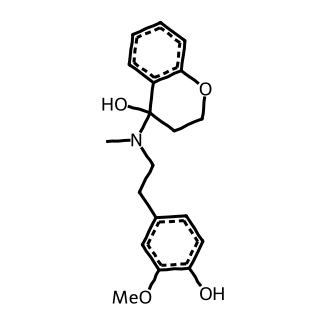 COc1cc(CCN(C)C2(O)CCOc3ccccc32)ccc1O